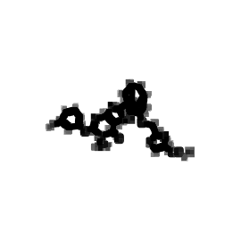 CCCn1c(Oc2cccc(F)c2)nc2nc(C34CC5CC(CC(OCc6nc(C(=O)O)cs6)(C5)C3)C4)[nH]c2c1=O